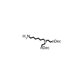 CCCCCCCCCCCCN(CCCCCCN)CCCCCCCCCCCC